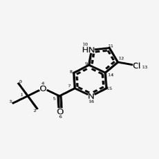 CC(C)(C)OC(=O)c1cc2[nH]cc(Cl)c2cn1